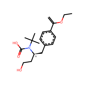 C=C(OCC)c1ccc(C[C@@H](CCO)N(C(=O)O)C(C)(C)C)cc1